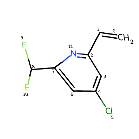 C=Cc1cc(Cl)cc(C(F)F)n1